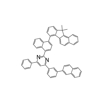 CC1(C)c2cccc(-c3ccc(-c4nc(-c5ccccc5)cc(-c5cccc(-c6ccc7ccccc7c6)c5)n4)c4ccccc34)c2-c2ccc3ccccc3c21